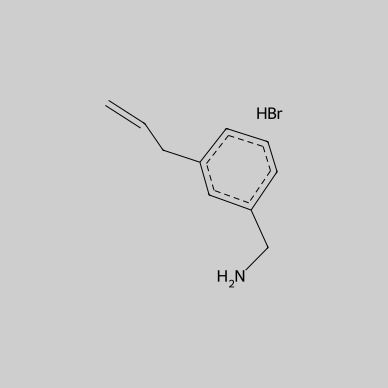 Br.C=CCc1cccc(CN)c1